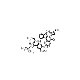 C=CC(=O)Nc1cc(Nc2ncc(C(=O)OC3CN(C)C3)c(-c3cn(C)c4ccccc34)n2)c(OC)cc1N(C)CCN(C)C